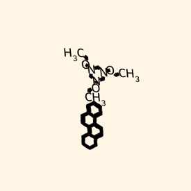 CCON1CN(OCC)CN(OCC)C1.c1ccc2c(c1)ccc1c3c(ccc12)CCCC3